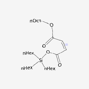 CCCCCCCCOC(=O)/C=C\C(=O)O[Si](CCCCCC)(CCCCCC)CCCCCC